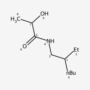 CCCCC(CC)CNC(=O)C(C)O